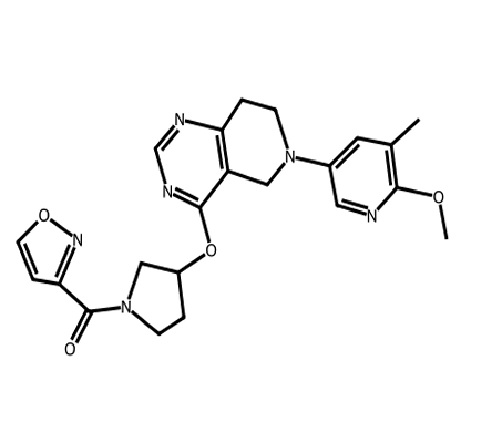 COc1ncc(N2CCc3ncnc(OC4CCN(C(=O)c5ccon5)C4)c3C2)cc1C